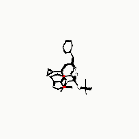 C=C(C)C(/C1=C\[C@@H](C)CN(C(=O)OC(C)(C)C)CCC1)=C(C(=C\C(C)=C/C1CCCCC1)/C1CC1)\C(C)=N/C